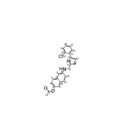 CC(=O)Oc1ccc2cc(NCc3nc(-c4ccccc4Cl)cs3)ccc2c1